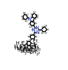 CCC1(C)CC1(CC)c1c(-c2ccc(-c3nc(-c4ccccc4)nc(-c4ccc5c(c4)c4ccccc4n5-c4ccccc4)n3)cc2)cc2c3c1C(C)(C)C(C)(C)C3(C)C(C)(C)C2(C)C